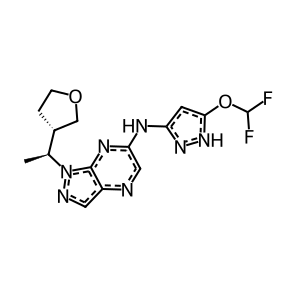 C[C@@H]([C@@H]1CCOC1)n1ncc2ncc(Nc3cc(OC(F)F)[nH]n3)nc21